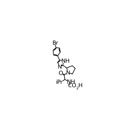 CC(C)C(NC(=O)O)C(=O)N1CCCC1c1ncc(-c2ccc(Br)cc2)[nH]1